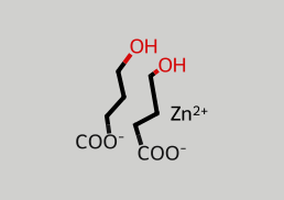 O=C([O-])CCCO.O=C([O-])CCCO.[Zn+2]